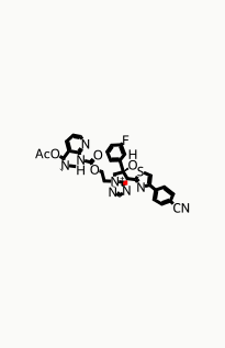 CC(=O)OC(c1cccnc1NC(=O)OCC[N+]1(C[C@](O)(c2cccc(F)c2)[C@@H](C)c2nc(-c3ccc(C#N)cc3)cs2)C=NC=N1)N(C)C